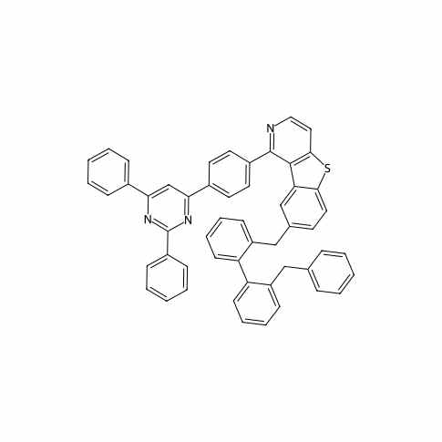 c1ccc(Cc2ccccc2-c2ccccc2Cc2ccc3sc4ccnc(-c5ccc(-c6cc(-c7ccccc7)nc(-c7ccccc7)n6)cc5)c4c3c2)cc1